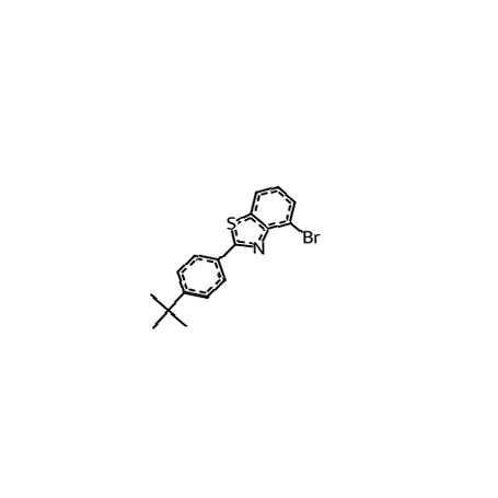 CC(C)(C)c1ccc(-c2nc3c(Br)cccc3s2)cc1